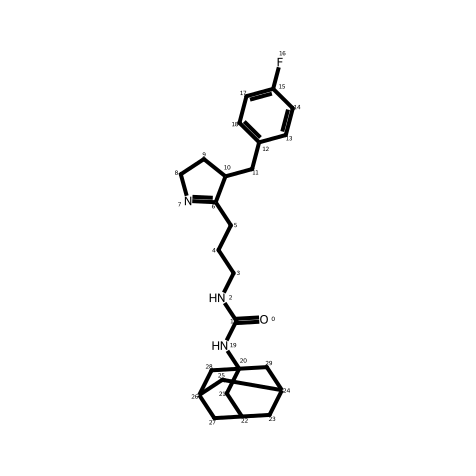 O=C(NCCCC1=NCCC1Cc1ccc(F)cc1)NC12CC3CC(CC(C3)C1)C2